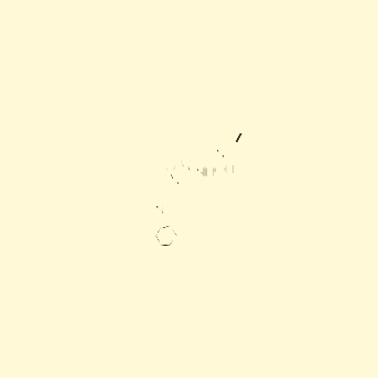 C#CCNC(O)CNC(=O)CN(C1CCN(C(C)c2c(Cl)cccc2Cl)CC1)S(C)(=O)=O